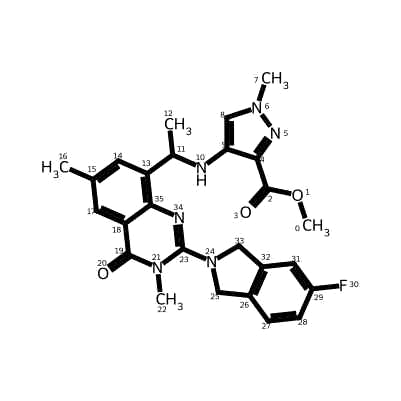 COC(=O)c1nn(C)cc1NC(C)c1cc(C)cc2c(=O)n(C)c(N3Cc4ccc(F)cc4C3)nc12